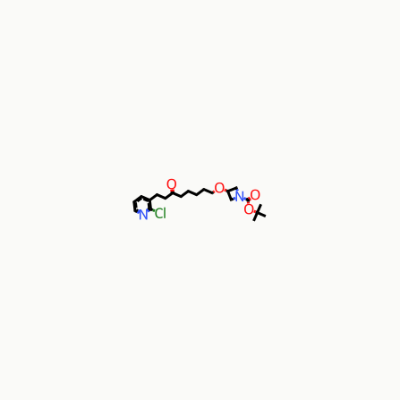 CC(C)(C)OC(=O)N1CC(OCCCCCC(=O)CCc2cccnc2Cl)C1